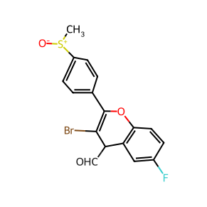 C[S+]([O-])c1ccc(C2=C(Br)C(C=O)c3cc(F)ccc3O2)cc1